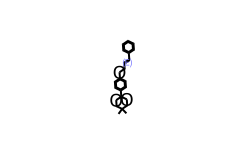 CC1(C)COC(c2ccc(OC/C=C/c3ccccc3)cc2)OC1